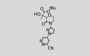 CC(C)(C)OC(=O)C(C)(O)C1OCCN(c2ccn(-c3cnnc(C#N)c3)n2)C1=O